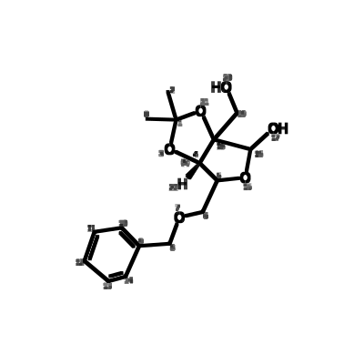 CC1(C)O[C@H]2C(COCc3ccccc3)OC(O)C2(CO)O1